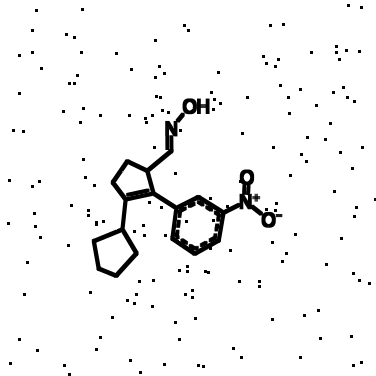 O=[N+]([O-])c1cccc(C2=C(C3CCCC3)CCC2C=NO)c1